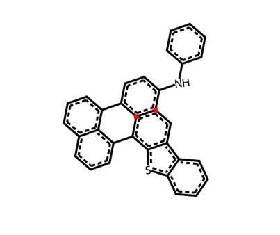 c1ccc(Nc2ccc(-c3cccc4cccc(-c5cccc6c5sc5ccccc56)c34)cc2)cc1